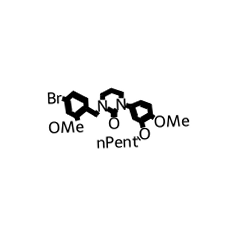 CCCCCOc1cc(N2CCCN(Cc3ccc(Br)cc3OC)C2=O)ccc1OC